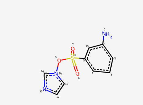 Nc1cccc(S(=O)(=O)On2ccnc2)c1